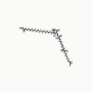 CC1OC1COCCOCCNC(=O)COCCOCCNC(=O)CCC(NC(=O)CCCCCCCCCCCCCCCCCCC(=O)O)C(=O)O